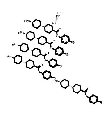 CCC[C@H]1CC[C@H](C2CCC(C(=O)Oc3ccc([S])cc3)CC2)CC1.CCC[C@H]1CC[C@H](C2CCC(C(=O)Oc3ccc([S])cc3)CC2)CC1.CCC[C@H]1CC[C@H](C2CCC(C(=O)Oc3ccc([S])cc3)CC2)CC1.CCC[C@H]1CC[C@H](C2CCC(C(=O)Oc3ccc([S])cc3)CC2)CC1.CCC[C@H]1CC[C@H](C2CCC(C(=O)Oc3ccc([S])cc3)CC2)CC1.F.F.F.F.F